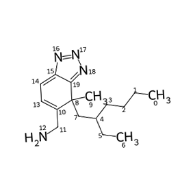 CCCCC(CC)CC1(C)C(CN)=CC=C2N=NN=C21